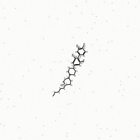 CCCCC[SiH]1CCC(C2CCC(c3cc(F)c(-c4ccc(F)c(F)c4)c(F)c3)CC2)CC1